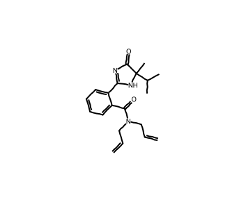 C=CCN(CC=C)C(=O)c1ccccc1C1=NC(=O)C(C)(C(C)C)N1